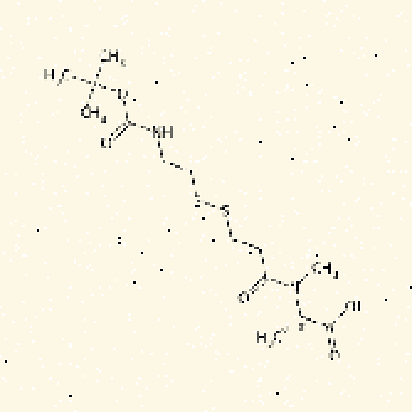 C[C@@H](C(=O)O)N(C)C(=O)CCSSCCNC(=O)OC(C)(C)C